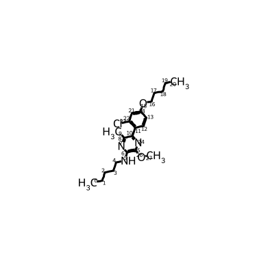 CCCCCNc1nc(C)c(-c2ccc(OCCCCC)cc2Cl)nc1OC